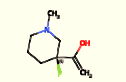 C=C(O)[C@]1(F)CCCN(C)C1